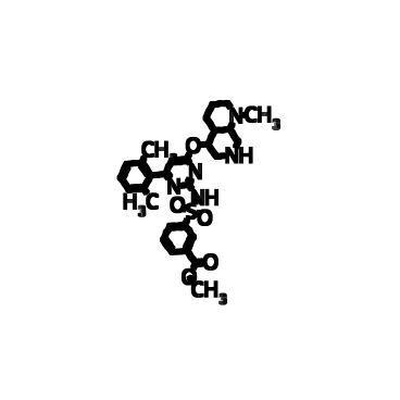 COC(=O)c1cccc(S(=O)(=O)Nc2nc(OC3CNCC4C3CCCN4C)cc(-c3c(C)cccc3C)n2)c1